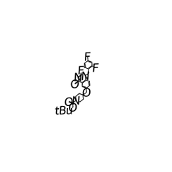 CC(C)(C)OC(=O)N1CCC(Oc2ccc3c(c2)c(=O)ncn3Cc2c(F)cc(F)cc2F)CC1